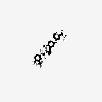 CNC(=O)c1cc(Oc2ccc(O)c(C3C4CC43NC(=O)Nc3ccc(Cl)c(C(F)(F)F)c3)c2)ccn1